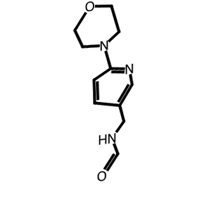 O=CNCc1ccc(N2CCOCC2)nc1